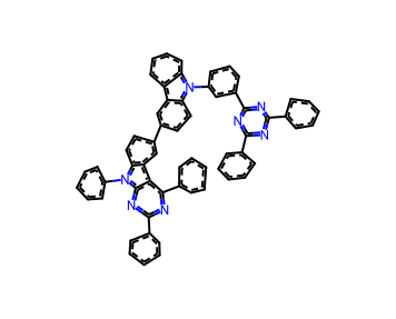 c1ccc(-c2nc(-c3ccccc3)nc(-c3cccc(-n4c5ccccc5c5cc(-c6ccc7c(c6)c6c(-c8ccccc8)nc(-c8ccccc8)nc6n7-c6ccccc6)ccc54)c3)n2)cc1